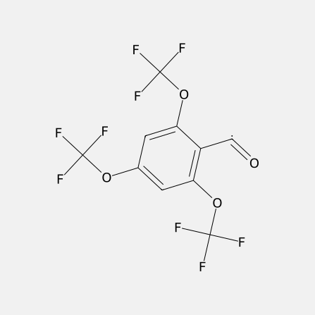 O=[C]c1c(OC(F)(F)F)cc(OC(F)(F)F)cc1OC(F)(F)F